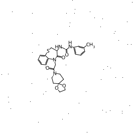 Cc1cccc(NC(=O)NC2CSc3ccccc3N(CC(=O)N3CCC4(CC3)OCCO4)C2=O)c1